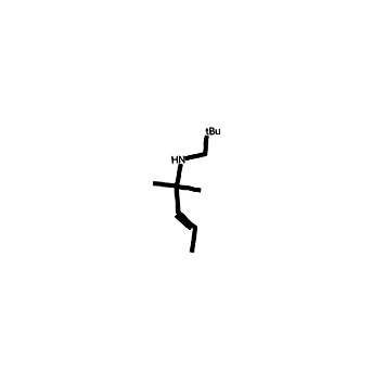 CC=CC(C)(C)NCC(C)(C)C